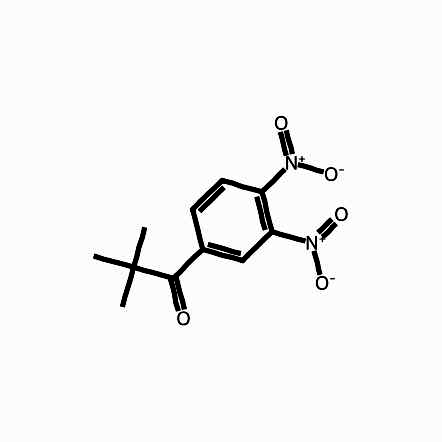 CC(C)(C)C(=O)c1ccc([N+](=O)[O-])c([N+](=O)[O-])c1